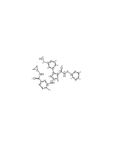 Cc1ccc(C(=O)NC2CC2)cc1Nc1nc(-c2cccc(CO)c2)c(C(=O)NCc2ccccc2)s1